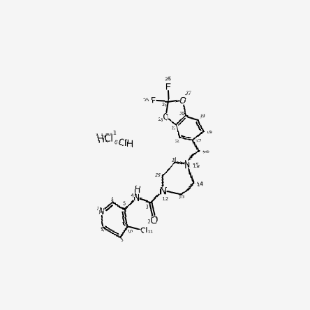 Cl.Cl.O=C(Nc1cnccc1Cl)N1CCN(Cc2ccc3c(c2)OC(F)(F)O3)CC1